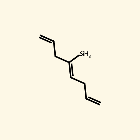 C=CCC=C([SiH3])CC=C